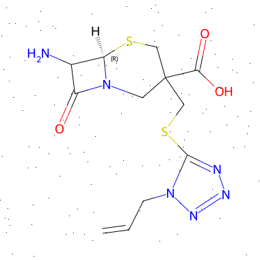 C=CCn1nnnc1SCC1(C(=O)O)CS[C@@H]2C(N)C(=O)N2C1